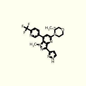 C[C@@H]1COCCN1c1cc(-c2ccc(C(F)(F)F)nc2)c2c(n1)c(-c1cc[nH]n1)nn2C